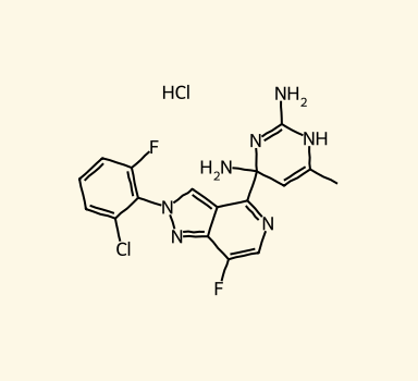 CC1=CC(N)(c2ncc(F)c3nn(-c4c(F)cccc4Cl)cc23)N=C(N)N1.Cl